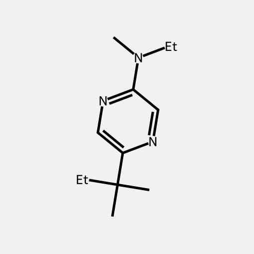 CCN(C)c1cnc(C(C)(C)CC)cn1